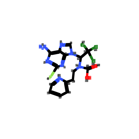 Nc1nc(F)nc2c1ncn2C(N(CCc1ccccn1)C(=O)O)C(Cl)(Cl)Cl